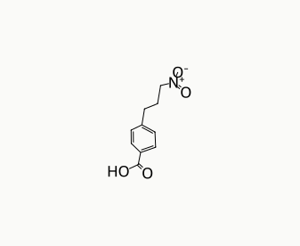 O=C(O)c1ccc(CCC[N+](=O)[O-])cc1